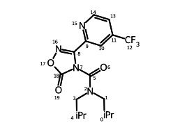 CC(C)CN(CC(C)C)C(=O)n1c(-c2cc(C(F)(F)F)ccn2)noc1=O